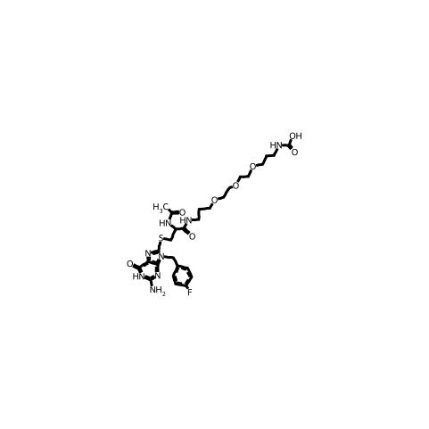 CC(=O)NC(CSc1nc2c(=O)[nH]c(N)nc2n1Cc1ccc(F)cc1)C(=O)NCCCOCCOCCOCCCNC(=O)O